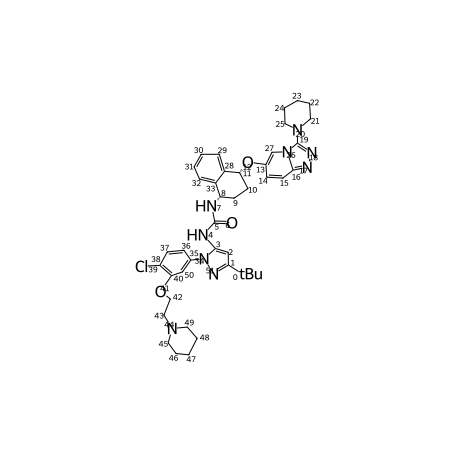 CC(C)(C)c1cc(NC(=O)N[C@H]2CC[C@@H](Oc3ccc4nnc(N5CCCCC5)n4c3)c3ccccc32)n(-c2ccc(Cl)c(OCCN3CCCCC3)c2)n1